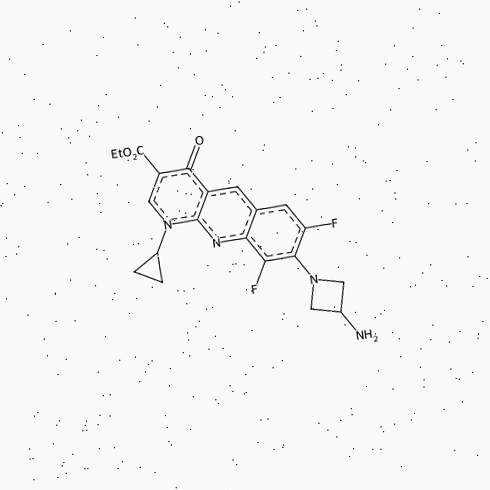 CCOC(=O)c1cn(C2CC2)c2nc3c(F)c(N4CC(N)C4)c(F)cc3cc2c1=O